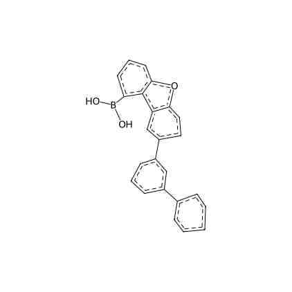 OB(O)c1cccc2oc3ccc(-c4cccc(-c5ccccc5)c4)cc3c12